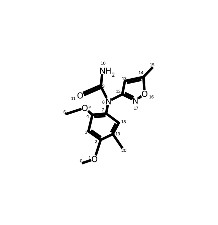 COc1cc(OC)c(N(C(N)=O)c2cc(C)on2)cc1C